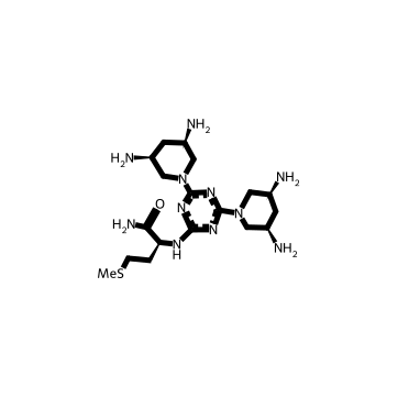 CSCC[C@H](Nc1nc(N2C[C@H](N)C[C@H](N)C2)nc(N2C[C@H](N)C[C@H](N)C2)n1)C(N)=O